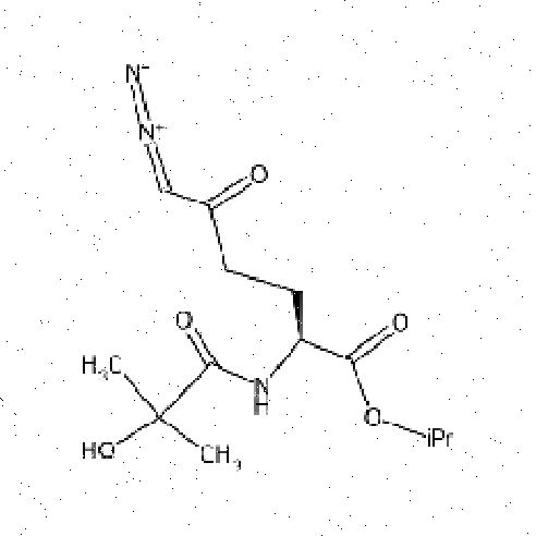 CC(C)OC(=O)[C@H](CCC(=O)C=[N+]=[N-])NC(=O)C(C)(C)O